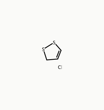 C1=CSSC1.[C]